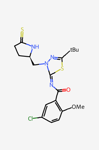 COc1ccc(Cl)cc1C(=O)/N=c1\sc(C(C)(C)C)nn1C[C@H]1CCC(=S)N1